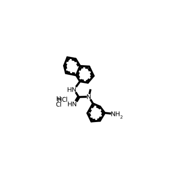 CN(C(=N)Nc1cccc2ccccc12)c1cccc(N)c1.Cl.Cl